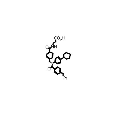 CC(C)Cc1ccc(C(=O)N(Cc2ccc(C(=O)NCCC(=O)O)cc2)c2ccc(C3CCCCC3)cc2)cc1